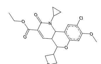 CCOC(=O)C1=CC2C(C3COC3)Oc3cc(OC)c(Cl)cc3C2N(C2CC2)C1=O